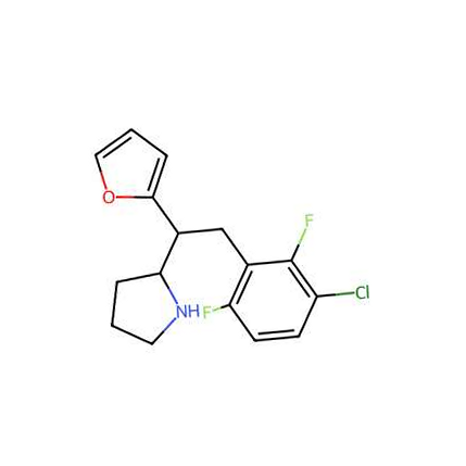 Fc1ccc(Cl)c(F)c1CC(c1ccco1)C1CCCN1